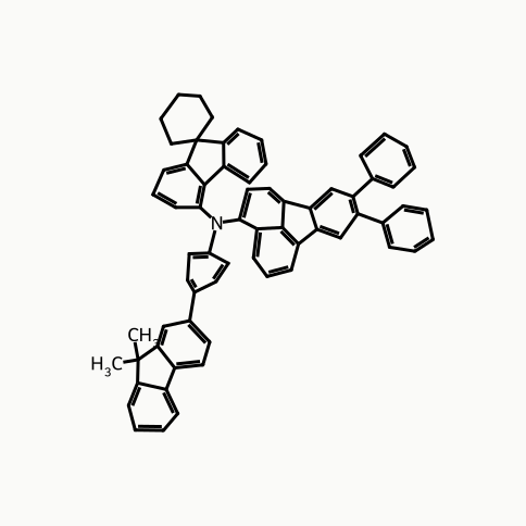 CC1(C)c2ccccc2-c2ccc(-c3ccc(N(c4cccc5c4-c4ccccc4C54CCCCC4)c4ccc5c6c(cccc46)-c4cc(-c6ccccc6)c(-c6ccccc6)cc4-5)cc3)cc21